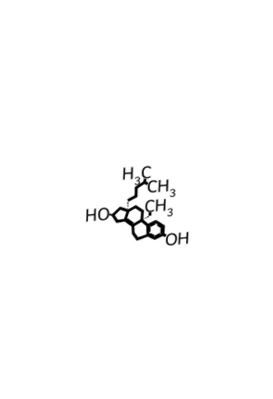 CC[C@@]12CC[C@]3(CCCC(C)C)C[C@H](O)CC3=C1CCc1cc(O)ccc12